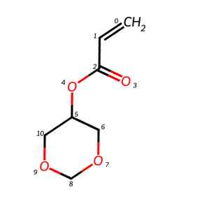 C=CC(=O)OC1COCOC1